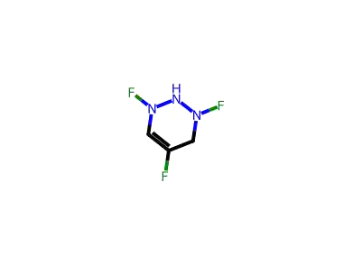 FC1=CN(F)NN(F)C1